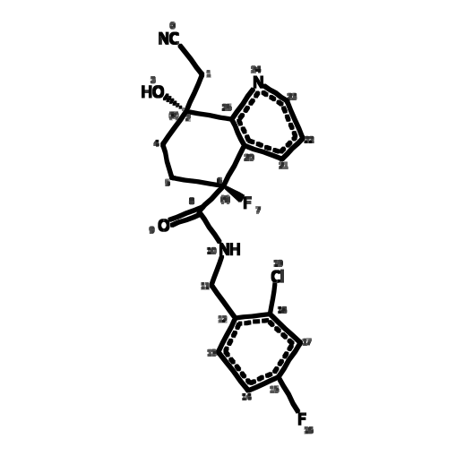 N#CC[C@]1(O)CC[C@@](F)(C(=O)NCc2ccc(F)cc2Cl)c2cccnc21